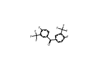 O=C(c1ccc(F)c(C(F)(F)F)c1)c1ccc(F)c(C(F)(F)F)c1